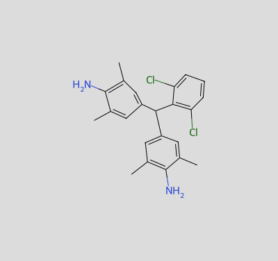 Cc1cc(C(c2cc(C)c(N)c(C)c2)c2c(Cl)cccc2Cl)cc(C)c1N